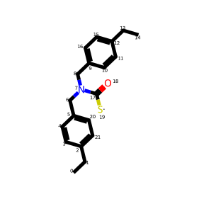 CCc1ccc(CN(Cc2ccc(CC)cc2)C(=O)[S])cc1